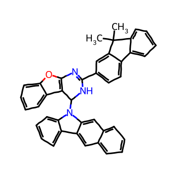 CC1(C)c2ccccc2-c2ccc(C3=Nc4oc5ccccc5c4C(n4c5ccccc5c5cc6ccccc6cc54)N3)cc21